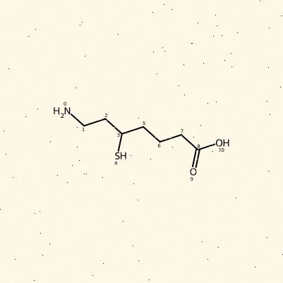 NCCC(S)CCCC(=O)O